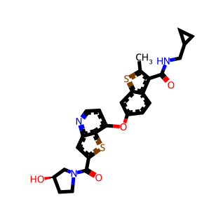 Cc1sc2cc(Oc3ccnc4cc(C(=O)N5CC[C@@H](O)C5)sc34)ccc2c1C(=O)NCC1CC1